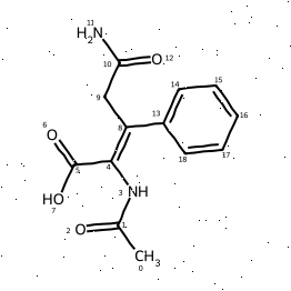 CC(=O)N/C(C(=O)O)=C(/CC(N)=O)c1ccccc1